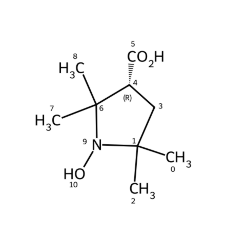 CC1(C)C[C@@H](C(=O)O)C(C)(C)N1O